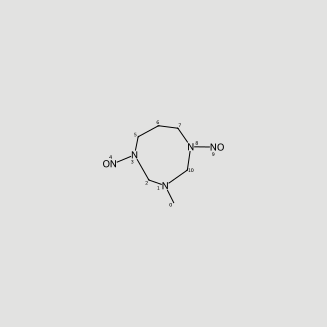 CN1CN(N=O)CCCN(N=O)C1